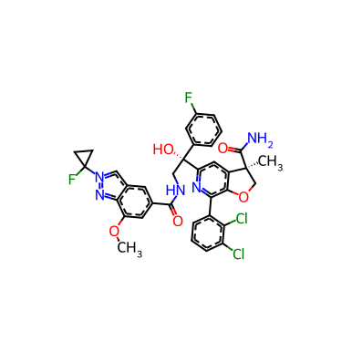 COc1cc(C(=O)NC[C@@](O)(c2cccc(F)c2)c2cc3c(c(-c4cccc(Cl)c4Cl)n2)OC[C@]3(C)C(N)=O)cc2cn(C3(F)CC3)nc12